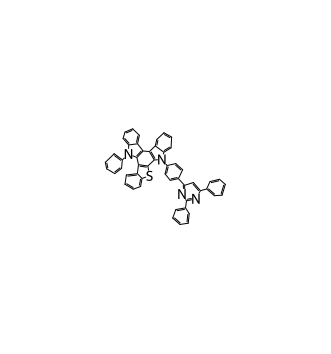 c1ccc(-c2cc(-c3ccc(-n4c5ccccc5c5c6c7ccccc7n(-c7ccccc7)c6c6c7ccccc7sc6c54)cc3)nc(-c3ccccc3)n2)cc1